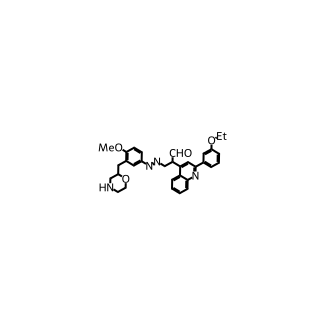 CCOc1cccc(-c2cc(C(C=O)CN=Nc3ccc(OC)c(CC4CNCCO4)c3)c3ccccc3n2)c1